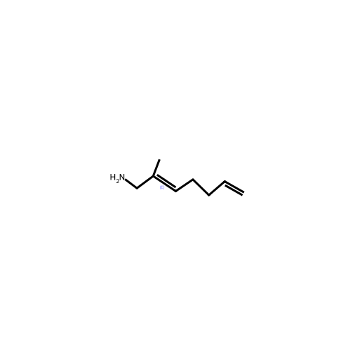 C=CCC/C=C(\C)CN